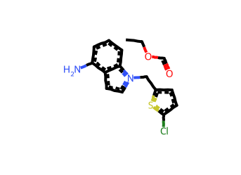 CCOC=O.Nc1cccc2c1ccn2Cc1ccc(Cl)s1